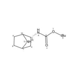 CC(C)(C)OC(=O)N[C@@H]1CC2CCC1N2